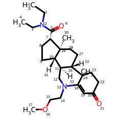 CCN(CC)C(=O)[C@H]1CC[C@H]2[C@@H]3CN(CCOC)C4=CC(=O)CC[C@]4(C)[C@H]3CC[C@]12C